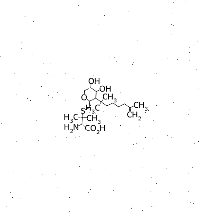 C=C(C)CCCCC(C)(C)C1C(CSC(C)(C)[C@@H](N)C(=O)O)OCC(O)C1O